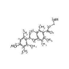 CCc1c(C)c(C(=O)OCOC)c(C)c(C)c1OC(=O)c1c(C)cc(O)c(C)c1C